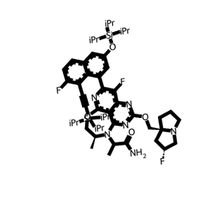 CC(C(N)=O)N1c2nc(OC[C@@]34CCCN3C[C@H](F)C4)nc3c(F)c(-c4cc(O[Si](C(C)C)(C(C)C)C(C)C)cc5ccc(F)c(C#C[Si](C(C)C)(C(C)C)C(C)C)c45)nc(c23)OC[C@@H]1C